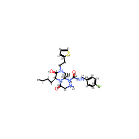 CCCC[C@H]1C(=O)N(CCc2cccs2)C[C@H]2N1C(=O)CN(C)N2C(=O)NCc1ccc(F)cc1